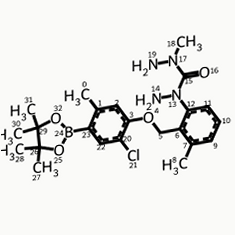 Cc1cc(OCc2c(C)cccc2N(N)C(=O)N(C)N)c(Cl)cc1B1OC(C)(C)C(C)(C)O1